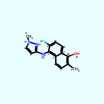 Cc1ccc2c(Nc3ccn(C)n3)c(F)ccc2c1O